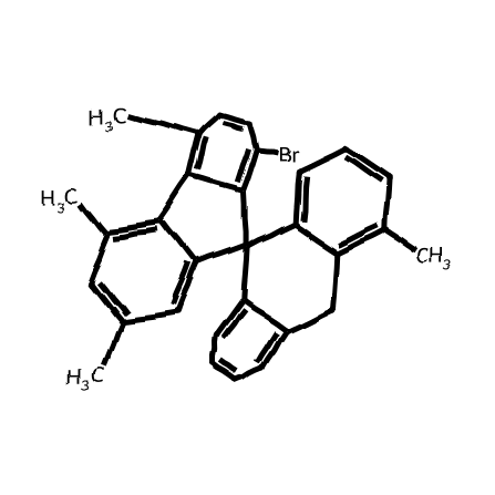 Cc1cc(C)c2c(c1)C1(c3ccccc3Cc3c(C)cccc31)c1c(Br)ccc(C)c1-2